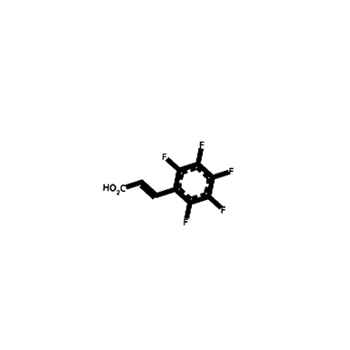 O=C(O)/C=C/c1c(F)c(F)c(F)c(F)c1F